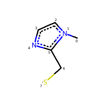 Cn1ccnc1C[S]